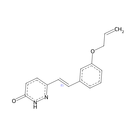 C=CCOc1cccc(/C=C/c2ccc(=O)[nH]n2)c1